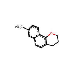 O=C(O)c1ccc2c3c(ccc2c1)CCCO3